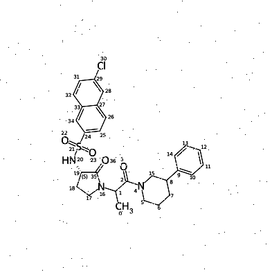 CC(C(=O)N1CCCC(c2ccccc2)C1)N1CC[C@H](NS(=O)(=O)c2ccc3cc(Cl)ccc3c2)C1=O